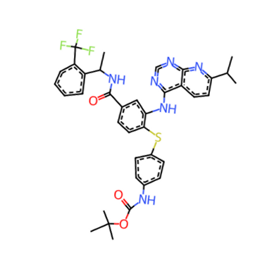 CC(C)c1ccc2c(Nc3cc(C(=O)NC(C)c4ccccc4C(F)(F)F)ccc3Sc3ccc(NC(=O)OC(C)(C)C)cc3)ncnc2n1